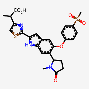 CC(C(=O)O)c1csc(-c2cc3cc(Oc4ccc(S(C)(=O)=O)cc4)c(C4CCC(=O)N4C)cc3[nH]2)n1